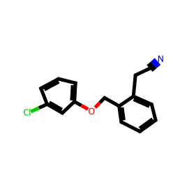 N#CCc1ccccc1COc1cccc(Cl)c1